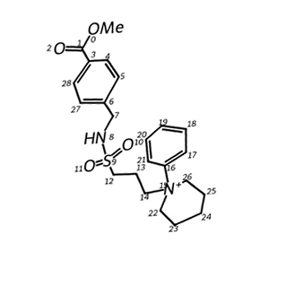 COC(=O)c1ccc(CNS(=O)(=O)CCC[N+]2(c3ccccc3)CCCCC2)cc1